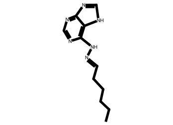 CCCCCC=NNc1ncnc2nc[nH]c12